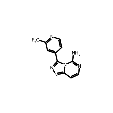 Nc1nccc2nnc(-c3ccnc(C(F)(F)F)c3)n12